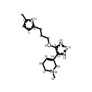 Cc1ccc(CCCOc2nsnc2C2=CCCN(C)C2)s1